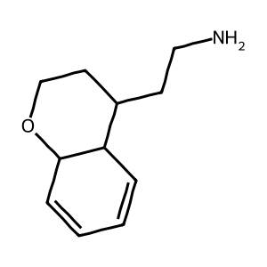 NCCC1CCOC2C=CC=CC12